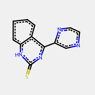 S=c1nc(-c2cnccn2)c2ccccc2[nH]1